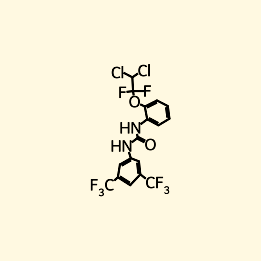 O=C(Nc1cc(C(F)(F)F)cc(C(F)(F)F)c1)Nc1ccccc1OC(F)(F)C(Cl)Cl